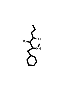 CCCC(O)C(O)C(CC1CCCCC1)NC